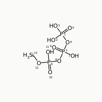 O=P(O)(O)OP(=O)(O)OP(=O)(O)O[SiH3]